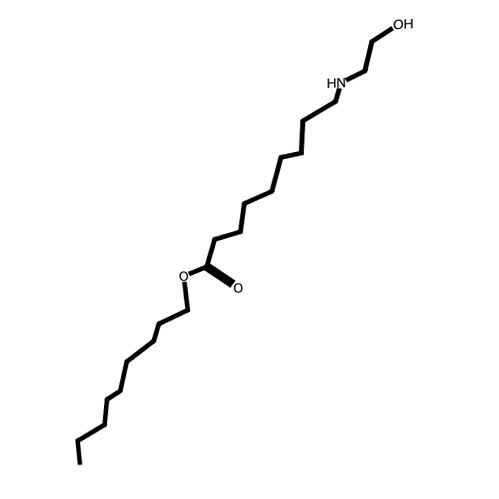 CCCCCCCCCOC(=O)CCCCCCCCNCCO